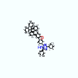 c1ccc(C2=NC(c3ccc4c(c3)oc3ccc(-c5cccc6c5-c5ccccc5C65c6ccccc6-c6ccccc65)cc34)NC(c3ccccc3)=N2)cc1